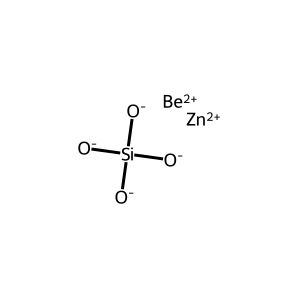 [Be+2].[O-][Si]([O-])([O-])[O-].[Zn+2]